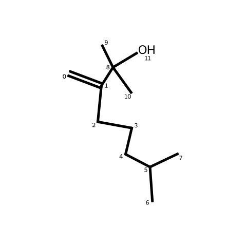 C=C(CCCC(C)C)C(C)(C)O